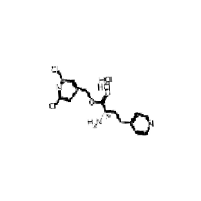 Cl.Cl.N[C@@H](CCc1ccncc1)C(=O)OCc1cc(Cl)nc(Cl)c1